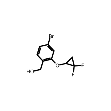 OCc1ccc(Br)cc1OC1CC1(F)F